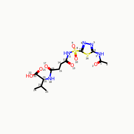 CC(=O)Nc1nnc(S(=O)(=O)NC(=O)CCC(=O)N[C@H](C(=O)O)C(C)C)s1